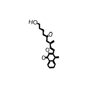 C=C(CC(=O)CCCCO)c1cc2c(o1)C(=O)c1ccccc1C2=C